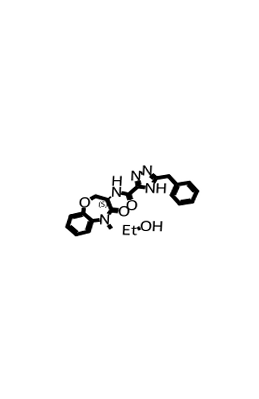 CCO.CN1C(=O)[C@@H](NC(=O)c2nnc(Cc3ccccc3)[nH]2)COc2ccccc21